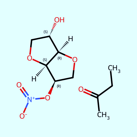 CCC(C)=O.O=[N+]([O-])O[C@@H]1CO[C@H]2[C@@H]1OC[C@@H]2O